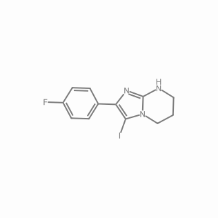 Fc1ccc(-c2nc3n(c2I)CCCN3)cc1